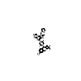 Cc1nc2c(N3C[C@@H](C)N(C(c4ccc(Cl)cc4F)C4CC(F)(F)C4)C[C@@H]3C)nc3nncn3c2n1C[C@@H]1CCCO1